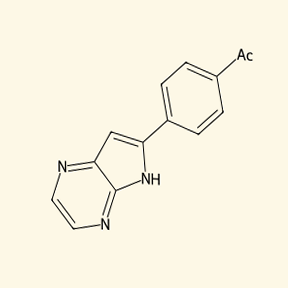 CC(=O)c1ccc(-c2cc3nccnc3[nH]2)cc1